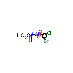 O=C(O)NCCNS(=O)(=O)c1cc(Cl)cc(Br)c1